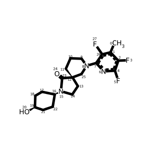 Cc1c(F)c(F)nc(N2CCC[C@]3(CCN([C@H]4CC[C@H](O)CC4)C3=O)C2)c1F